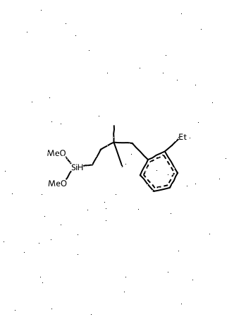 CCc1ccccc1CC(C)(C)CC[SiH](OC)OC